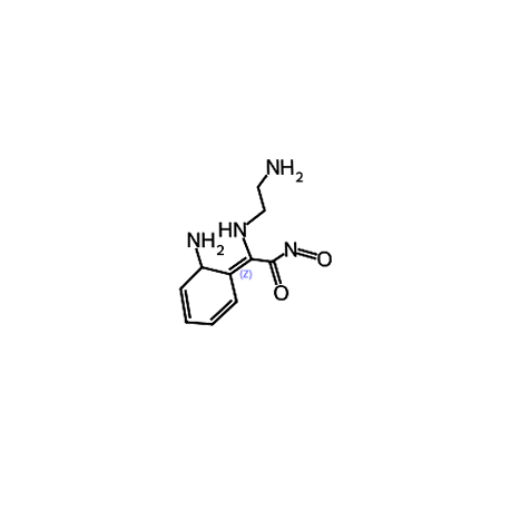 NCCN/C(C(=O)N=O)=C1/C=CC=CC1N